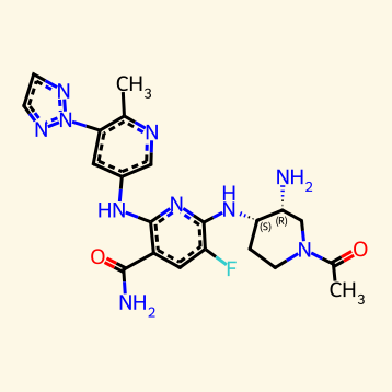 CC(=O)N1CC[C@H](Nc2nc(Nc3cnc(C)c(-n4nccn4)c3)c(C(N)=O)cc2F)[C@H](N)C1